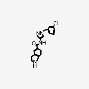 O=C(Nc1cnn(Cc2cccc(Cl)c2)c1)c1ccc2c(c1)CCNC2